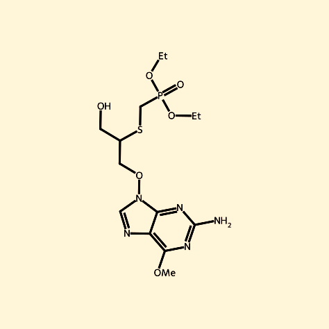 CCOP(=O)(CSC(CO)COn1cnc2c(OC)nc(N)nc21)OCC